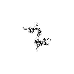 CN[C@@H](C)C(=O)N[C@H](C(=O)N1CCC[C@H]1CN(CCc1ccccc1)C(=O)CNS(=O)(=O)c1ccc(-c2ccc(S(=O)(=O)NCC(=O)N(CCc3ccccc3)C[C@@H]3CCCN3C(=O)[C@@H](NC(=O)[C@H](C)NC)C(C)(C)C)cc2)cc1)C(C)(C)C